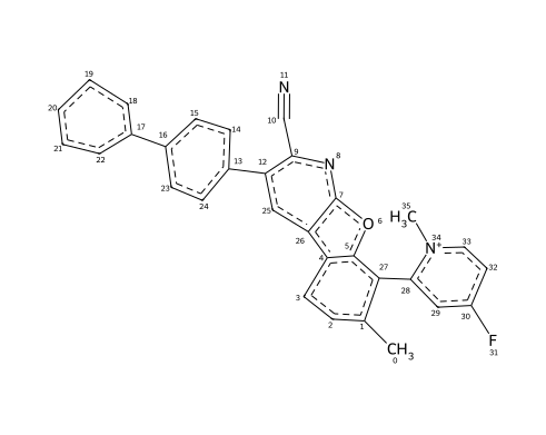 Cc1ccc2c(oc3nc(C#N)c(-c4ccc(-c5ccccc5)cc4)cc32)c1-c1cc(F)cc[n+]1C